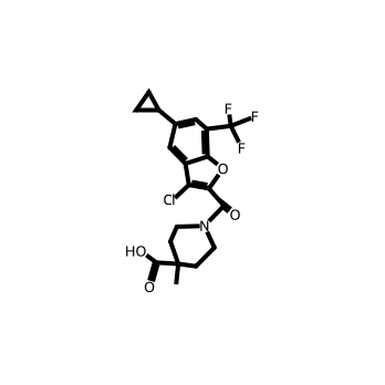 CC1(C(=O)O)CCN(C(=O)c2oc3c(C(F)(F)F)cc(C4CC4)cc3c2Cl)CC1